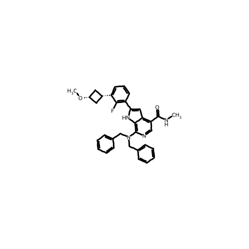 CNC(=O)c1cnc(N(Cc2ccccc2)Cc2ccccc2)c2[nH]c(-c3cccc([C@H]4C[C@@H](OC)C4)c3F)cc12